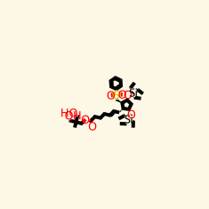 CC[Si](CC)(CC)O[C@H]1C[C@@H](O[Si](CC)(CC)CC)[C@H](CS(=O)(=O)c2ccccc2)[C@H]1CC=CCCCC(=O)OCC(C)(CO)CO